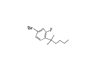 CCCCC(C)(C)c1ccc(Br)cc1F